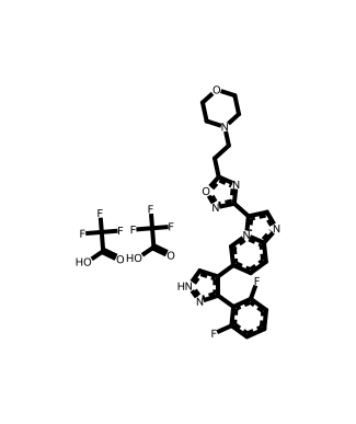 Fc1cccc(F)c1-c1n[nH]cc1-c1ccc2ncc(-c3noc(CCN4CCOCC4)n3)n2c1.O=C(O)C(F)(F)F.O=C(O)C(F)(F)F